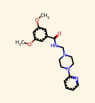 COc1cc(OC)cc(C(=O)NCN2CCN(c3ccccn3)CC2)c1